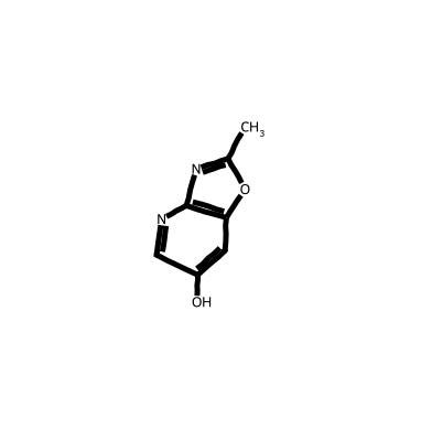 Cc1nc2ncc(O)cc2o1